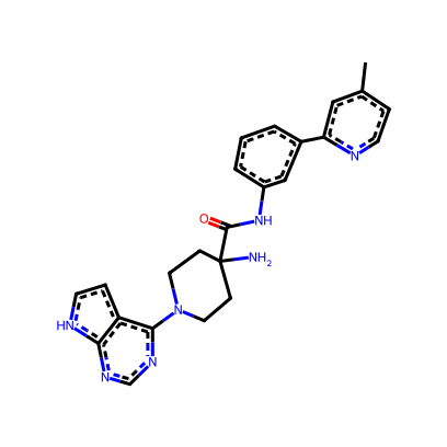 Cc1ccnc(-c2cccc(NC(=O)C3(N)CCN(c4ncnc5[nH]ccc45)CC3)c2)c1